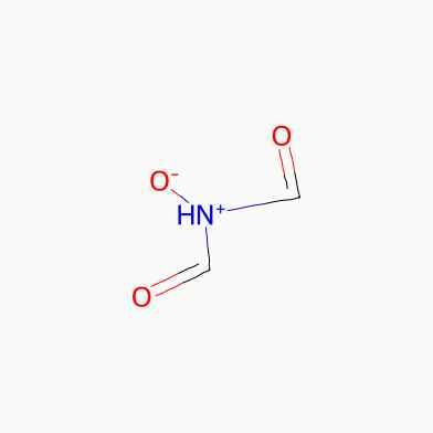 O=C[NH+]([O-])C=O